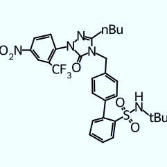 CCCCc1nn(-c2ccc([N+](=O)[O-])cc2C(F)(F)F)c(=O)n1Cc1ccc(-c2ccccc2S(=O)(=O)NC(C)(C)C)cc1